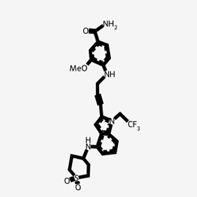 COc1cc(C(N)=O)ccc1NCC#Cc1cc2c(NC3CCS(=O)(=O)CC3)cccc2n1CC(F)(F)F